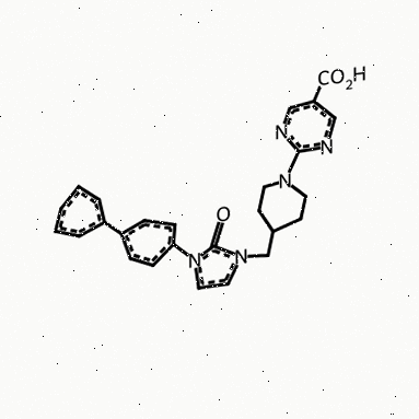 O=C(O)c1cnc(N2CCC(Cn3ccn(-c4ccc(-c5ccccc5)cc4)c3=O)CC2)nc1